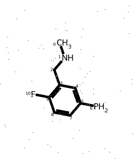 CNCc1cc(P)ccc1F